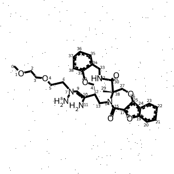 COCCOCCN(N)/C=C(\N)CCN1C(=O)c2oc3ccccc3c2OC[C@@]1(C)C(=O)NCc1ccccc1OC